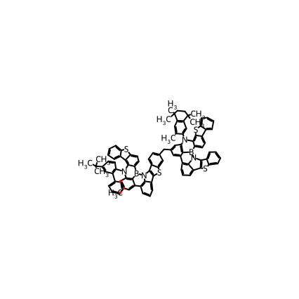 Cc1cc2c3c(c1)N(c1ccc(C(C)(C)C)cc1-c1ccccc1)c1c(ccc4sc5ccccc5c14)B3n1c3c-2cccc3c2sc3cc(Cc4cc5c6c(c4)N(c4cc7c(cc4C)C(C)(C)CCC7(C)C)c4c(ccc7c4sc4ccccc47)B6n4c6c-5cccc6c5sc6ccccc6c54)ccc3c21